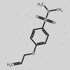 C=CCOc1ccc(S(=O)(=O)N(C)C)cc1